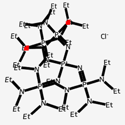 CCN(CC)P(=N[P+](N=P(N(CC)CC)(N(CC)CC)N(CC)CC)(N=P(N(CC)CC)(N(CC)CC)N(CC)CC)N=P(N(CC)CC)(N(CC)CC)N(CC)CC)(N(CC)CC)N(CC)CC.[Cl-]